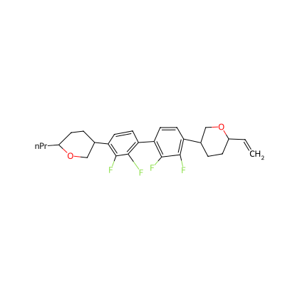 C=CC1CCC(c2ccc(-c3ccc(C4CCC(CCC)OC4)c(F)c3F)c(F)c2F)CO1